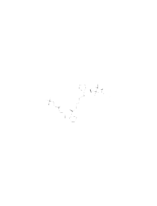 CC(C)(C)CNC(=O)COC(=O)[C@H]1CCCN1C(=O)CCCCC(=O)N1CCC[C@@H]1C(=O)OC(C)(C(N)=O)C(C)(C)C